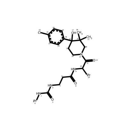 CC(C)NC(=O)NCCC(=O)NC(C(=O)N1CCC(O)(c2ccc(Cl)cc2)C(C)(C)C1)C(C)C